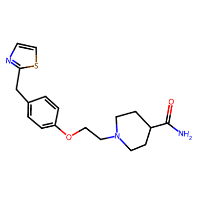 NC(=O)C1CCN(CCOc2ccc(Cc3nccs3)cc2)CC1